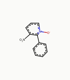 O=[N+]([O-])c1ccc[n+]([O-])c1-c1ccccc1